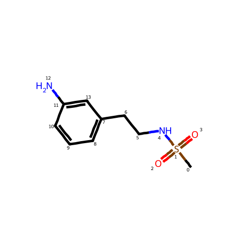 CS(=O)(=O)NCCc1cccc(N)c1